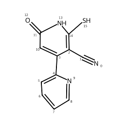 N#Cc1c(-c2ccccn2)cc(=O)[nH]c1S